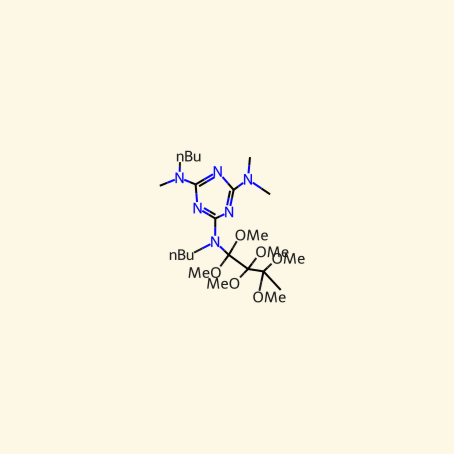 CCCCN(C)c1nc(N(C)C)nc(N(CCCC)C(OC)(OC)C(OC)(OC)C(C)(OC)OC)n1